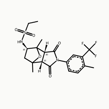 CCS(=O)(=O)N[C@@H]1CC2(C)OC1(C)[C@@H]1C(=O)N(c3ccc(C)c(C(F)(F)F)c3)C(=O)[C@@H]12